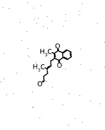 CC1=C(C/C=C(\C)CC[C]=O)C(=O)c2ccccc2C1=O